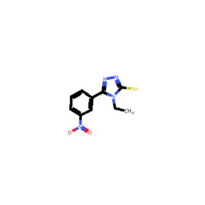 CCn1c(S)nnc1-c1cccc([N+](=O)[O-])c1